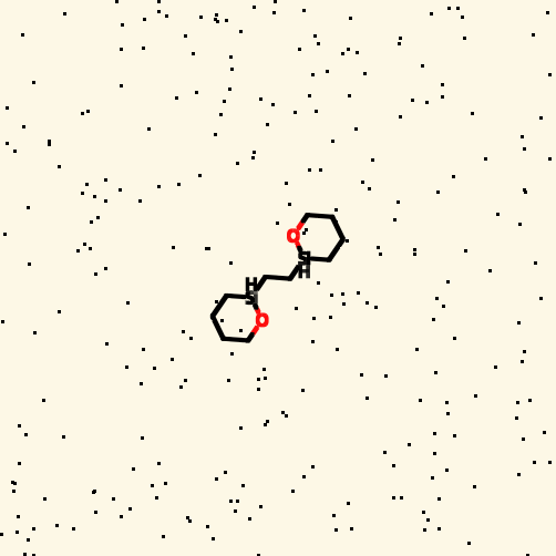 C1CC[SiH](CC[SiH]2CCCCO2)OC1